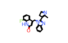 CC1=C(c2nc3ccccc3n2Cc2cc(=O)[nH]c3c(F)cccc23)CC=N1